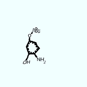 CCCCOc1ccc(N)c(O)c1